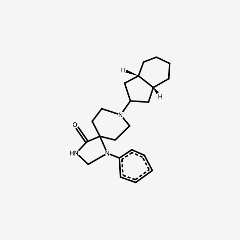 O=C1NCN(c2ccccc2)C12CCN(C1C[C@H]3CCCC[C@H]3C1)CC2